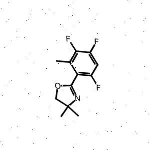 Cc1c(F)c(F)cc(F)c1C1=NC(C)(C)CO1